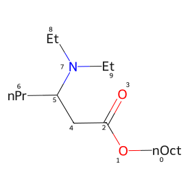 CCCCCCCCOC(=O)CC(CCC)N(CC)CC